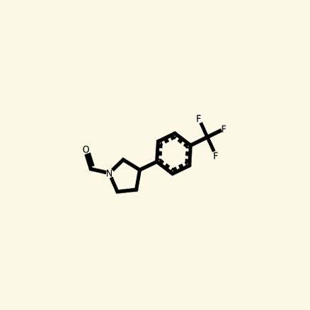 O=CN1CCC(c2ccc(C(F)(F)F)cc2)C1